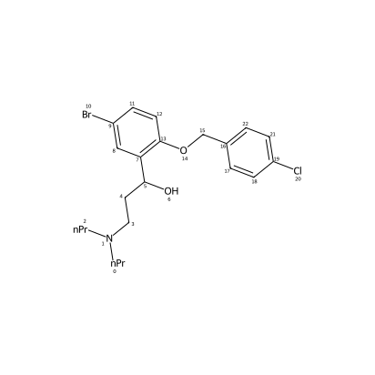 CCCN(CCC)CCC(O)c1cc(Br)ccc1OCc1ccc(Cl)cc1